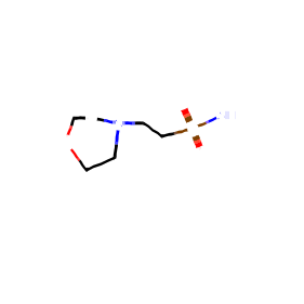 Cl.Cl.NS(=O)(=O)CCN1CCOCC1